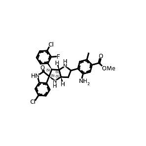 COC(=O)c1cc(N)c(C2C[C@@H]3N[C@@]4(C(=O)Nc5cc(Cl)ccc54)[C@@H](c4cccc(Cl)c4F)[C@@H]3N2)cc1C